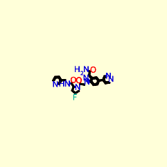 NC(=O)c1nn(CC(=O)N2CC(F)CC2C(=O)NCc2cccnc2)c2ccc(-c3ccnnc3)cc12